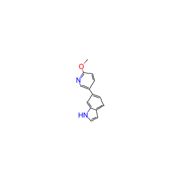 COc1ccc(-c2ccc3cc[nH]c3c2)cn1